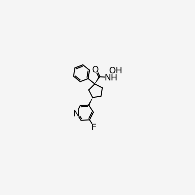 O=C(NO)[C@@]1(c2ccccc2)CC[C@@H](c2cncc(F)c2)C1